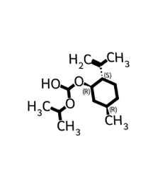 C=C(C)[C@@H]1CC[C@@H](C)C[C@H]1OC(O)OC(C)C